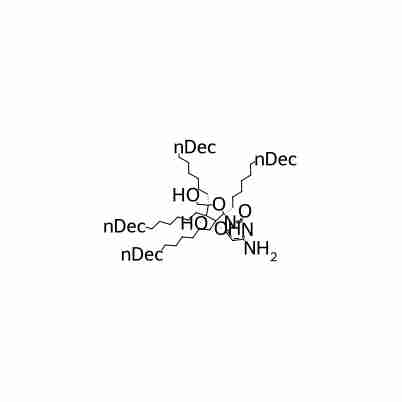 CCCCCCCCCCCCCCCC[C@]1(CO)O[C@@](CCCCCCCCCCCCCCCC)(n2ccc(N)nc2=O)[C@@](O)(CCCCCCCCCCCCCCCC)[C@@]1(O)CCCCCCCCCCCCCCCC